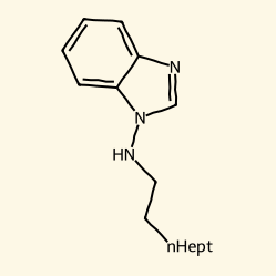 CCCCCCCCCNn1cnc2ccccc21